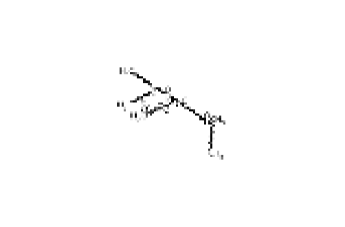 CCCCCCCCCC(C)OC(=O)CCCCCCCC(=O)OCC(COC(=O)CCC(OCCCCCCCC)OCCCCCCCC)COC(=O)OCCCN(CC)CC